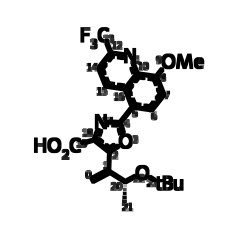 C=C(c1oc(-c2ccc(OC)c3nc(C(F)(F)F)ccc23)nc1C(=O)O)[C@@H](C)OC(C)(C)C